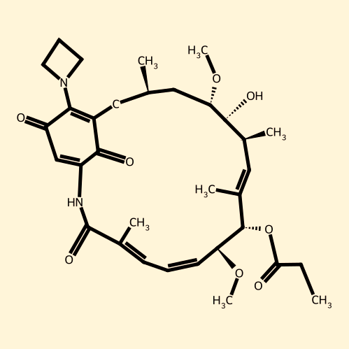 CCC(=O)O[C@H]1/C(C)=C/[C@H](C)[C@@H](O)[C@@H](OC)C[C@H](C)CC2=C(N3CCC3)C(=O)C=C(NC(=O)/C(C)=C/C=C\[C@@H]1OC)C2=O